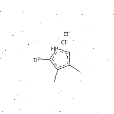 Cc1c[pH][c]([Ti+2])c1C.[Cl-].[Cl-]